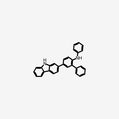 c1ccc(Nc2ccc(-c3ccc4c(c3)[nH]c3ccccc34)cc2-c2ccccc2)cc1